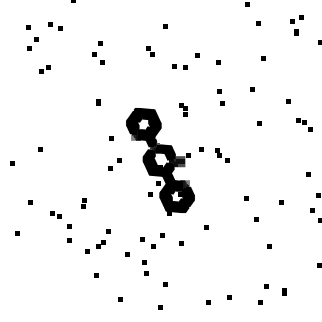 C1=CN(c2ccccn2)CNC1c1ccccn1